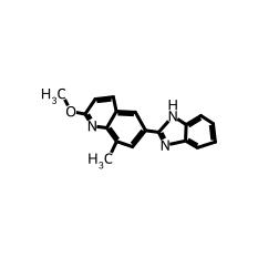 COc1ccc2cc(-c3nc4ccccc4[nH]3)cc(C)c2n1